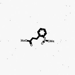 COC(=O)CCc1ccccc1[PH](=O)OC